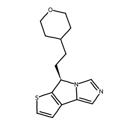 c1cc2c(s1)[C@@H](CCC1CCOCC1)n1cncc1-2